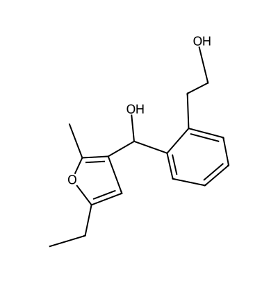 CCc1cc(C(O)c2ccccc2CCO)c(C)o1